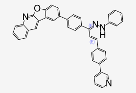 C(=C\c1ccc(-c2cccnc2)cc1)/C(=N\Nc1ccccc1)c1ccc(-c2ccc3oc4nc5ccccc5cc4c3c2)cc1